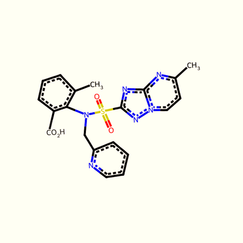 Cc1ccn2nc(S(=O)(=O)N(Cc3ccccn3)c3c(C)cccc3C(=O)O)nc2n1